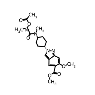 COC(=O)c1cc2cn([C@H]3CC[C@H](N(C)C(=O)[C@@H](C)OC(C)=O)CC3)nc2cc1OC